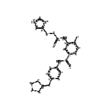 Cc1ccc(C(=O)Nc2ccc(CN3CCCC3)cc2)cc1NC(=O)CCc1c[nH]cn1